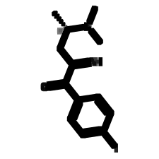 C[C@@H](CC(=N)C(=O)c1ccc(I)cc1)N(C)C